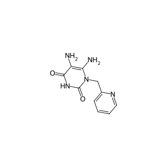 Nc1c(N)n(Cc2ccccn2)c(=O)[nH]c1=O